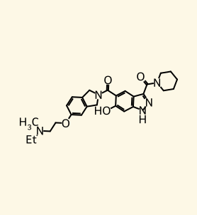 CCN(C)CCOc1ccc2c(c1)CN(C(=O)c1cc3c(C(=O)N4CCCCC4)n[nH]c3cc1O)C2